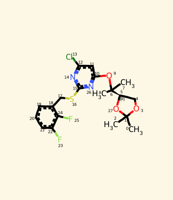 CC1(C)OC[C@H](C(C)(C)Oc2cc(Cl)nc(SCc3cccc(F)c3F)n2)O1